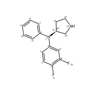 Fc1ccc(N(c2ccccc2)[C@H]2CCNC2)cc1F